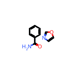 NC(=O)c1ccccc1.c1cocn1